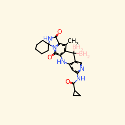 BC1(B)c2cnc(NC(=O)C3CC3)cc2Nc2c1c(C)c1n(c2=O)C2(CCCCC2)NC1=O